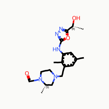 Cc1cc(CN2CCN(C=O)[C@@H](C)C2)c(C)c(Nc2nnc([C@@H](C)O)o2)c1